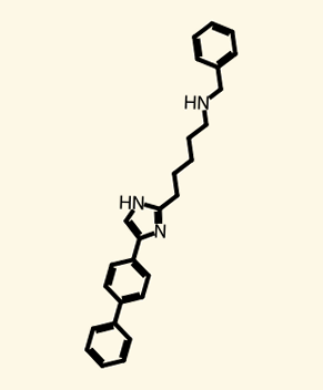 c1ccc(CNCCCCCc2nc(-c3ccc(-c4ccccc4)cc3)c[nH]2)cc1